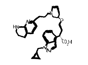 O=C(O)[C@@H](CCO[C@@H]1CCCN(CCCc2ccc3c(n2)NCCC3)C1)c1cccc2c1cnn2CC1CC1